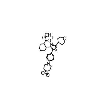 COC(=O)[C@@H]1CCCC[C@H]1c1nc(C2CCOCC2)sc1-c1ccc(N2CCS(=O)(=O)CC2)cc1